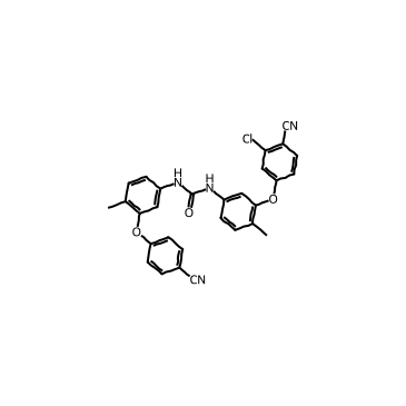 Cc1ccc(NC(=O)Nc2ccc(C)c(Oc3ccc(C#N)c(Cl)c3)c2)cc1Oc1ccc(C#N)cc1